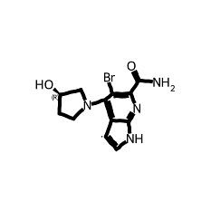 NC(=O)c1nc2[nH]c[c]c2c(N2CC[C@@H](O)C2)c1Br